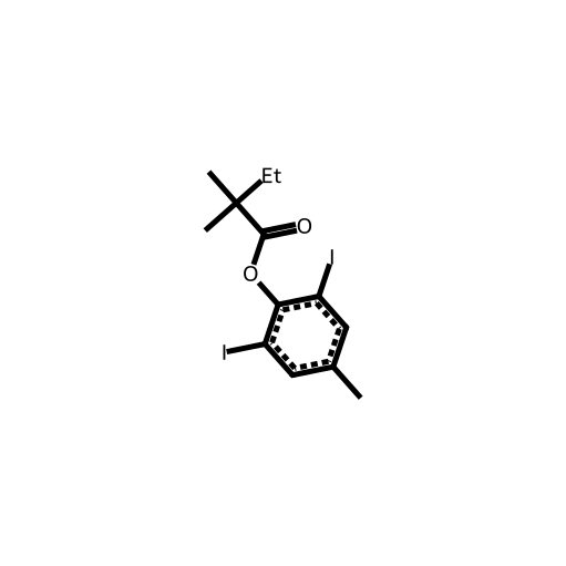 CCC(C)(C)C(=O)Oc1c(I)cc(C)cc1I